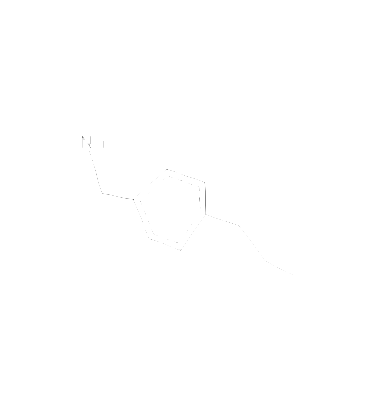 CCCc1ccc(CN)cc1